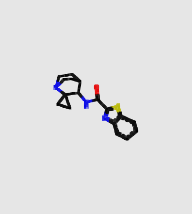 O=C(NC1C2CCN(CC2)C12CC2)c1nc2ccccc2s1